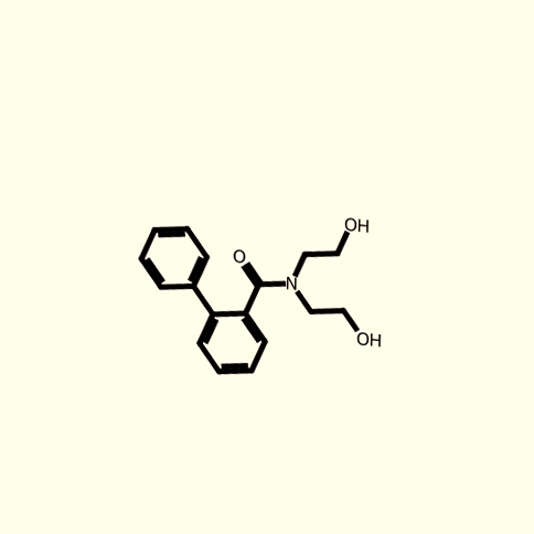 O=C(c1ccccc1-c1ccccc1)N(CCO)CCO